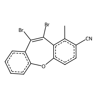 Cc1c(C#N)ccc2c1C(Br)=C(Br)c1ccccc1O2